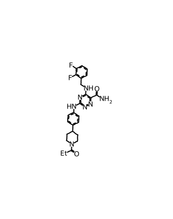 CCC(=O)N1CCC(c2ccc(Nc3nnc(C(N)=O)c(NCc4cccc(F)c4F)n3)cc2)CC1